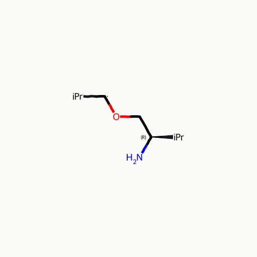 CC(C)[CH]OC[C@H](N)C(C)C